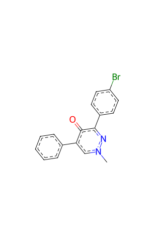 Cn1cc(-c2ccccc2)c(=O)c(-c2ccc(Br)cc2)n1